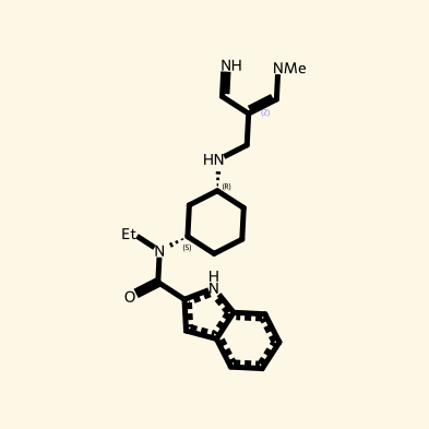 CCN(C(=O)c1cc2ccccc2[nH]1)[C@H]1CCC[C@@H](NC/C(C=N)=C/NC)C1